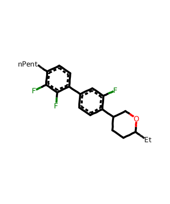 CCCCCc1ccc(-c2ccc(C3CCC(CC)OC3)c(F)c2)c(F)c1F